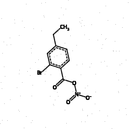 CCc1ccc(C(=O)O[N+](=O)[O-])c(Br)c1